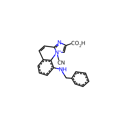 N#C[N+]12C=C(C(=O)O)N=C1C=Cc1cccc(NCc3ccccc3)c12